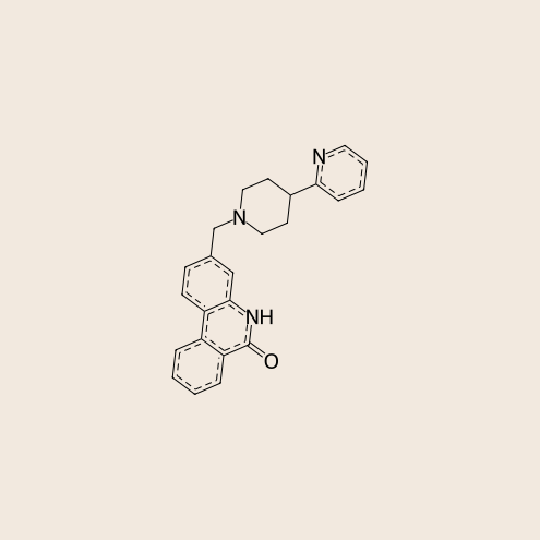 O=c1[nH]c2cc(CN3CCC(c4ccccn4)CC3)ccc2c2ccccc12